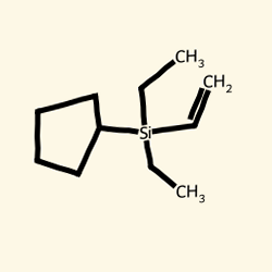 C=C[Si](CC)(CC)C1CCCC1